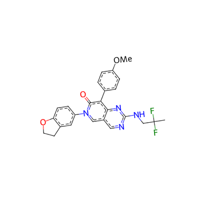 COc1ccc(-c2c(=O)n(-c3ccc4c(c3)CCO4)cc3cnc(NCC(C)(F)F)nc23)cc1